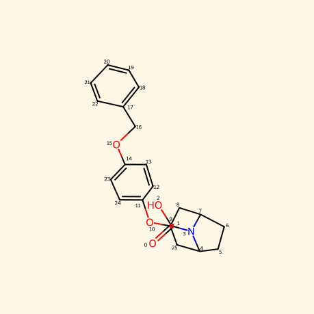 O=C(O)N1C2CCC1CC(Oc1ccc(OCc3ccccc3)cc1)C2